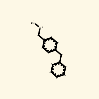 CCC(C)OCc1ccc(Cc2c[c]ccc2)cc1